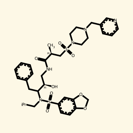 CC(C)CN(C(Cc1ccccc1)[C@H](O)CNC(=O)[C@@H](C)CS(=O)(=O)N1CCN(Cc2cccnc2)CC1)S(=O)(=O)c1ccc2c(c1)OCO2